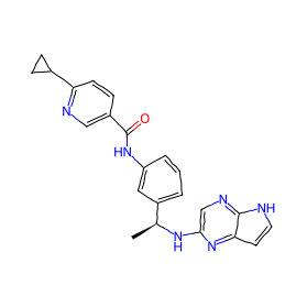 C[C@H](Nc1cnc2[nH]ccc2n1)c1cccc(NC(=O)c2ccc(C3CC3)nc2)c1